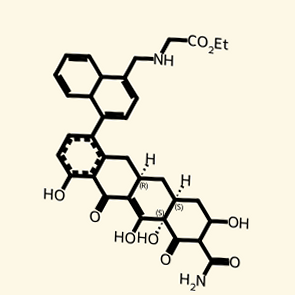 CCOC(=O)CNCC1=CC=C(c2ccc(O)c3c2C[C@H]2C[C@H]4CC(O)C(C(N)=O)C(=O)[C@@]4(O)C(O)=C2C3=O)C2C=CC=CC12